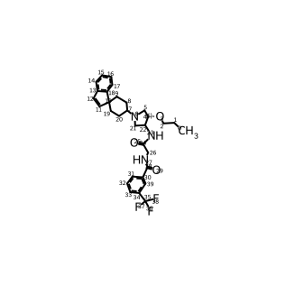 CCCO[C@H]1CN(C2CCC3(C=Cc4ccccc43)CC2)CC1NC(=O)CNC(=O)c1cccc(C(F)(F)F)c1